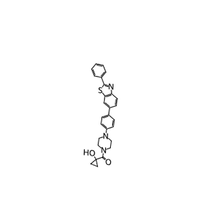 O=C(N1CCN(c2ccc(-c3ccc4nc(-c5ccccc5)sc4c3)cc2)CC1)C1(O)CC1